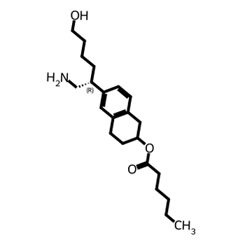 CCCCCC(=O)OC1CCc2cc([C@H](CN)CCCCO)ccc2C1